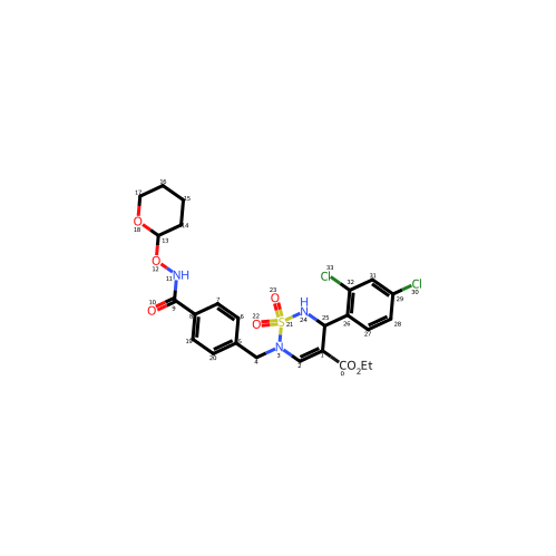 CCOC(=O)C1=CN(Cc2ccc(C(=O)NOC3CCCCO3)cc2)S(=O)(=O)NC1c1ccc(Cl)cc1Cl